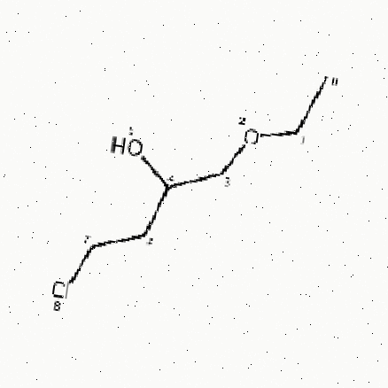 CCOCC(O)CCCl